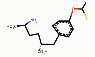 CC(F)Oc1ccc(C[C@@H](CC[C@H](N)C(=O)O)C(=O)O)cc1